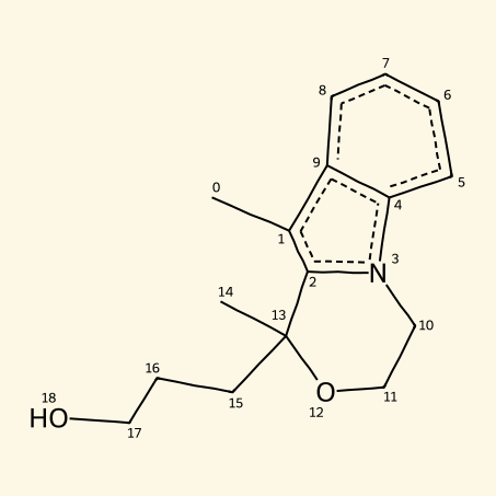 Cc1c2n(c3ccccc13)CCOC2(C)CCCO